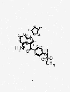 CS(=O)(=O)Nc1ccc(C(=O)c2cn(C3CCCC3)c3ncnc(N)c23)cc1